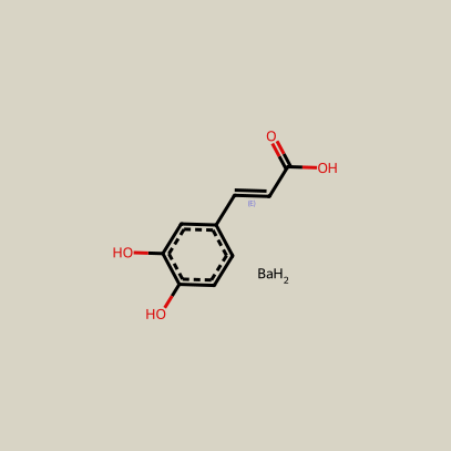 O=C(O)/C=C/c1ccc(O)c(O)c1.[BaH2]